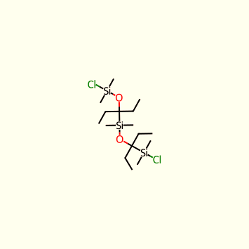 CCC(CC)(O[Si](C)(C)C(CC)(CC)O[Si](C)(C)Cl)[Si](C)(C)Cl